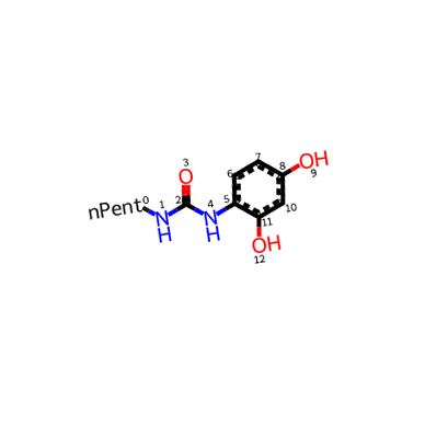 CCCCCNC(=O)Nc1ccc(O)cc1O